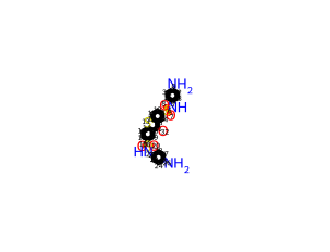 Nc1ccc(NS(=O)(=O)c2ccc3sc4ccc(S(=O)(=O)Nc5ccc(N)cc5)cc4c(=O)c3c2)cc1